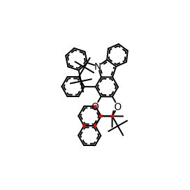 CC(C)(C)c1ccccc1-c1c(OC(c2ccccc2)C(C)(C)C)c(OC(c2ccccc2)C(C)(C)C)cc2c3ccccc3n(-c3ccccc3C(C)(C)C)c12